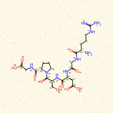 N=C(N)NCCC[C@H](N)C(=O)NCC(=O)N[C@@H](CC(=O)O)C(=O)N[C@@H](CO)C(=O)N1CCC[C@H]1C(=O)NCC(=O)O